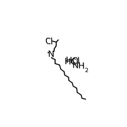 CCCCCCCCCCCCCCCCN(C)CCCC(C)Cl.CN.Cl.Cl